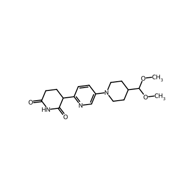 COC(OC)C1CCN(c2ccc(C3CCC(=O)NC3=O)nc2)CC1